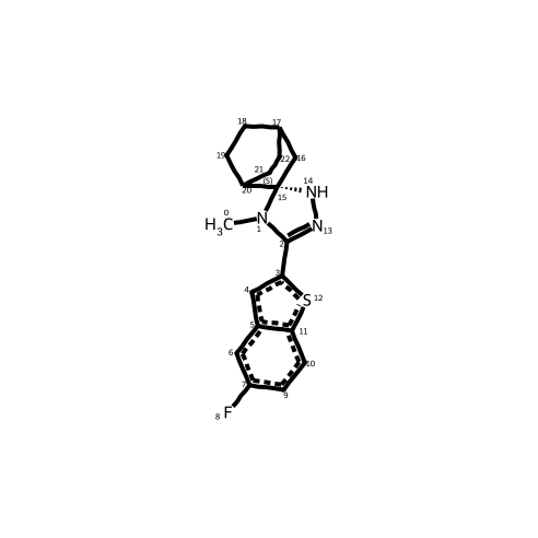 CN1C(c2cc3cc(F)ccc3s2)=NN[C@]12CC1CCC2CC1